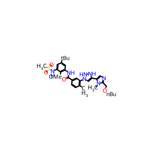 CCCCOCc1ncc(C2=CN(c3cc(C(=O)Nc4cc(C(C)(C)C)cc(NS(C)(=O)=O)c4OC)ccc3C)NN2)n1C